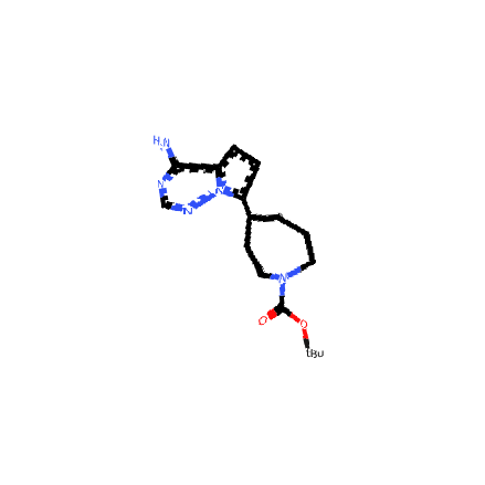 CC(C)(C)OC(=O)N1CCCC(c2ccc3c(N)ncnn23)CC1